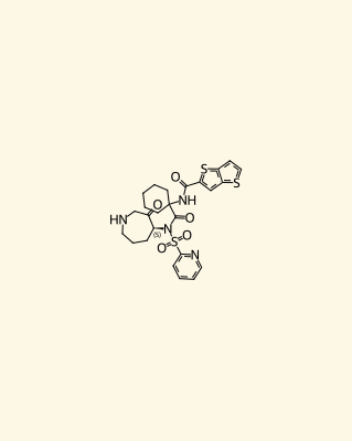 O=C(NC1(C(=O)N([C@H]2CCCNCC2=O)S(=O)(=O)c2ccccn2)CCCCC1)c1cc2sccc2s1